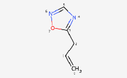 C=CCc1ncno1